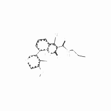 CCCNC(=O)c1c(N)c2cccc(-c3cncc(OC)c3C)c2[nH]c1=O